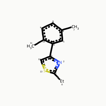 CCc1nc(-c2cc(C)ccc2C)cs1